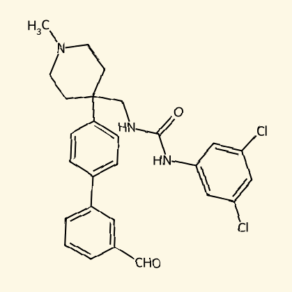 CN1CCC(CNC(=O)Nc2cc(Cl)cc(Cl)c2)(c2ccc(-c3cccc(C=O)c3)cc2)CC1